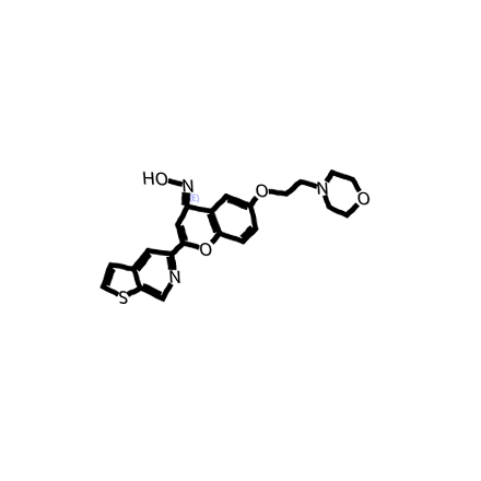 O/N=c1\cc(-c2cc3ccsc3cn2)oc2ccc(OCCN3CCOCC3)cc12